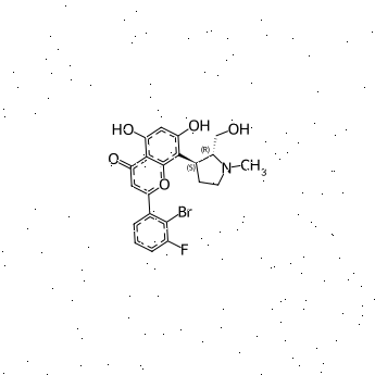 CN1CC[C@@H](c2c(O)cc(O)c3c(=O)cc(-c4cccc(F)c4Br)oc23)[C@@H]1CO